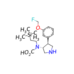 C[Si](C)(C)CCN(C(=O)O)[C@H]1CNC[C@@H]1c1cccc(OCF)c1